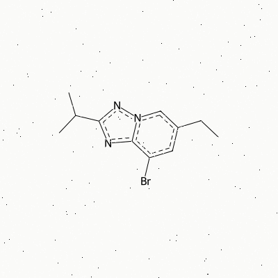 CCc1cc(Br)c2nc(C(C)C)nn2c1